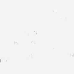 C#CCOc1ccc2c(c1)c(-c1ccc(C(C)C)cc1)nc(=O)n2/C=C/c1c(C)cc(C)cc1C